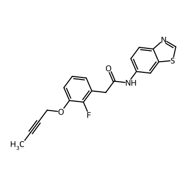 CC#CCOc1cccc(CC(=O)Nc2ccc3ncsc3c2)c1F